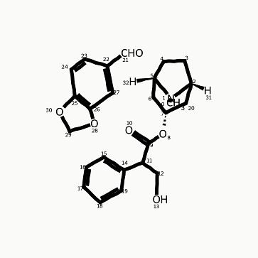 CN1[C@@H]2CC[C@H]1C[C@@H](OC(=O)C(CO)c1ccccc1)C2.O=Cc1ccc2c(c1)OCO2